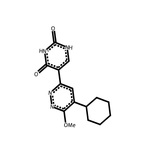 COc1nnc(-c2c[nH]c(=O)[nH]c2=O)cc1C1CCCCC1